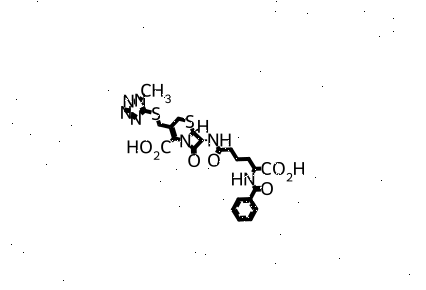 Cn1nnnc1SCC1=C(C(=O)O)N2C(=O)[C@@H](NC(=O)CCCC(NC(=O)c3ccccc3)C(=O)O)[C@@H]2SC1